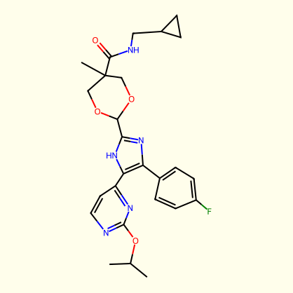 CC(C)Oc1nccc(-c2[nH]c(C3OCC(C)(C(=O)NCC4CC4)CO3)nc2-c2ccc(F)cc2)n1